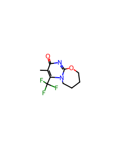 Cc1c(C(F)(F)F)n2c(nc1=O)OCCCC2